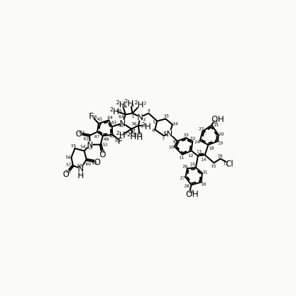 [2H]C1([2H])N(CC2CCN(c3ccc(C(=C(CCCl)c4ccc(O)cc4)c4ccc(O)cc4)cc3)CC2)C([2H])([2H])C([2H])([2H])N(c2cc(F)c3c(c2F)C(=O)N(C2CCC(=O)NC2=O)C3=O)C1([2H])[2H]